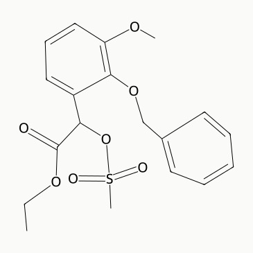 CCOC(=O)C(OS(C)(=O)=O)c1cccc(OC)c1OCc1ccccc1